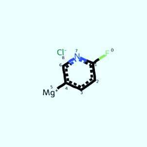 Fc1cc[c]([Mg+])cn1.[Cl-]